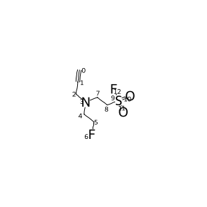 C#CCN(CCF)CCS(=O)(=O)F